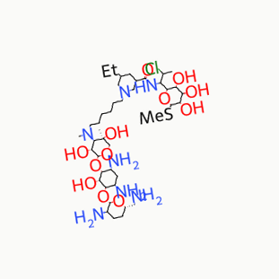 CCC1CC(C(=O)NC(C(C)Cl)C2O[C@H](SC)C(O)[C@H](O)[C@H]2O)CN(CCCCCCN(C)C2[C@@H](O)C(OC3[C@@H](O)C(OC4O[C@H](CN)CC[C@H]4N)[C@@H](N)C[C@H]3N)OC[C@]2(C)O)C1